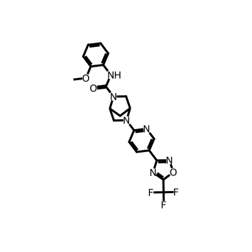 COc1ccccc1NC(=O)N1CC2CC1CN2c1ccc(-c2noc(C(F)(F)F)n2)cn1